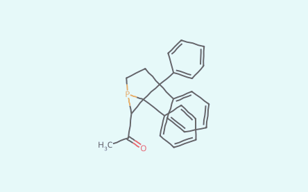 CC(=O)C1P2CCC(c3ccccc3)(c3ccccc3)C12c1ccccc1